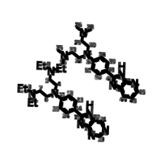 CCN(CC)CCN(CCN(CC)CC)c1ccc(-c2nc3ncncc3[nH]2)cc1.CN(C)CCN(CCN(C)C)c1ccc(-c2nc3cccnc3[nH]2)cc1